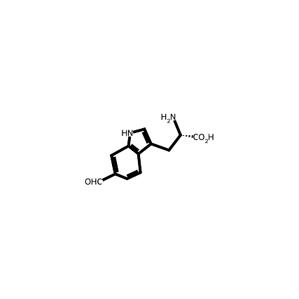 N[C@@H](Cc1c[nH]c2cc(C=O)ccc12)C(=O)O